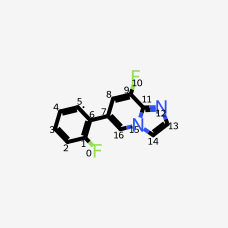 Fc1ccc[c]c1-c1cc(F)c2nccn2c1